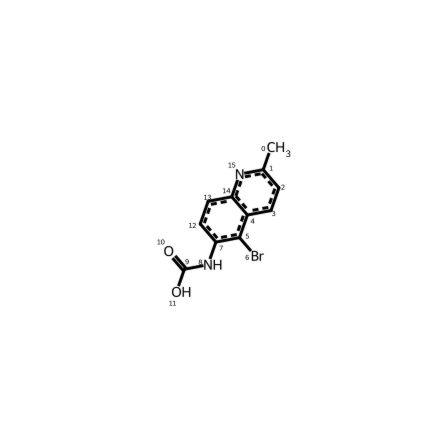 Cc1ccc2c(Br)c(NC(=O)O)ccc2n1